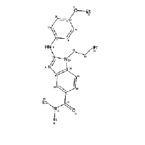 CCOc1ccc(Nc2nc3cc(C(=O)N(CC)CC)ccc3n2CCC(C)C)cc1